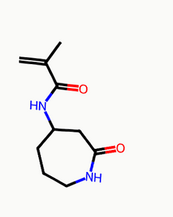 C=C(C)C(=O)NC1CCCNC(=O)C1